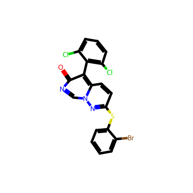 O=c1ncn2nc(Sc3ccccc3Br)ccc2c1-c1c(Cl)cccc1Cl